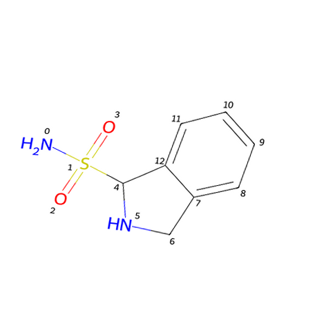 NS(=O)(=O)C1NCc2ccccc21